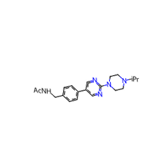 CC(=O)NCc1ccc(-c2cnc(N3CCN(C(C)C)CC3)nc2)cc1